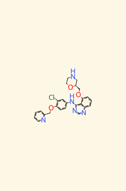 Clc1cc(Nc2ncnc3cccc(OC[C@@H]4CNCCO4)c23)ccc1OCc1ccccn1